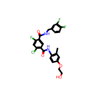 Cc1cc(OCCO)ccc1NC(=O)c1cc(C(=O)NCc2ccc(F)c(F)c2)c(F)cc1Cl